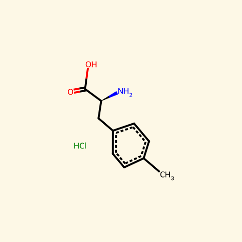 Cc1ccc(C[C@H](N)C(=O)O)cc1.Cl